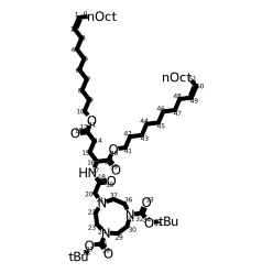 CCCCCCCC/C=C\CCCCCCCCOC(=O)CCC(NC(=O)CN1CCN(C(=O)OC(C)(C)C)CCN(C(=O)OC(C)(C)C)CC1)C(=O)OCCCCCCCC/C=C\CCCCCCCC